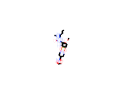 CCCc1nc(C)n2c(=O)[nH]c(-c3cc(S(=O)(=O)N4CCC(C5=NOCCO5)CC4)ccc3OCC)nc12